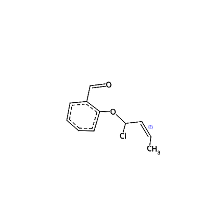 C/C=C\C(Cl)Oc1ccccc1C=O